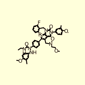 CCNC(=O)N(Nc1ccc(OC)c(C)c1)c1ccc(-c2sc3c(c2CN(C)CCOC)c(=O)n(-c2ccc(OC)c(C)c2)c(=O)n3Cc2c(F)cccc2F)cc1